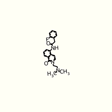 CN(C)CCn1ccc2c(NC(=O)Cc3ccccc3F)cccc2c1=O